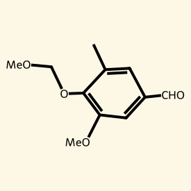 COCOc1c(C)cc(C=O)cc1OC